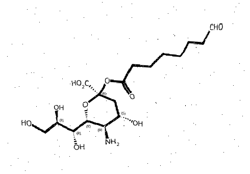 N[C@H]1[C@H]([C@H](O)[C@H](O)CO)O[C@](OC(=O)CCCCCCC=O)(C(=O)O)C[C@@H]1O